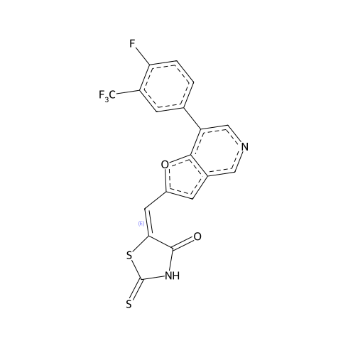 O=C1NC(=S)S/C1=C/c1cc2cncc(-c3ccc(F)c(C(F)(F)F)c3)c2o1